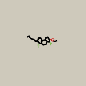 CCCCCc1ccc2c(c1F)CCc1c-2ccc(OCC)c1F